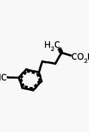 C=C(CCc1cccc(C#N)c1)C(=O)O